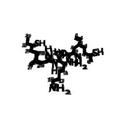 C=CC(CCC(C)S)CC(N)C(O)NC(CCCCN)C(O)NC(N)CC(C)CCC(S)CC